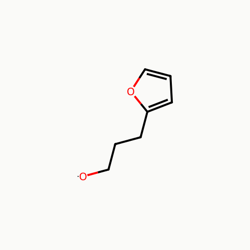 [O]CCCc1ccco1